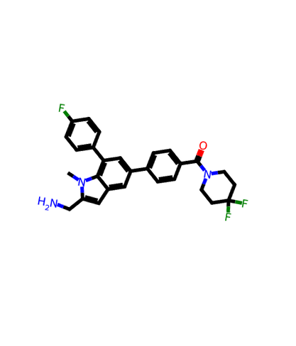 Cn1c(CN)cc2cc(-c3ccc(C(=O)N4CCC(F)(F)CC4)cc3)cc(-c3ccc(F)cc3)c21